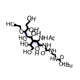 C#CCO/C(=C(\O)[C@@H](O)/C(=C(\NC(C)=O)[C@@H](O)NC(=O)NCCNC(=O)OC(C)(C)C)[C@H](O)CO)[C@@H](O)CCO